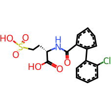 O=C(N[C@@H](CCS(=O)(=O)O)C(=O)O)c1ccccc1-c1ccccc1Cl